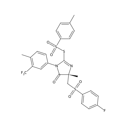 Cc1ccc(S(=O)(=O)SC2=N[C@](C)(CS(=O)(=O)c3ccc(F)cc3)C(=O)N2c2ccc(C)c(C(F)(F)F)c2)cc1